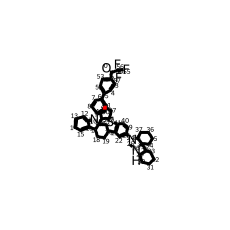 O=C(c1ccc(-c2ccc(N3c4ccccc4C4CCC5c6cc(N7CNC8(C9CCCCC9)CCCCC78)ccc6SC5C43C3CCCC3)cc2)cc1)C(F)(F)F